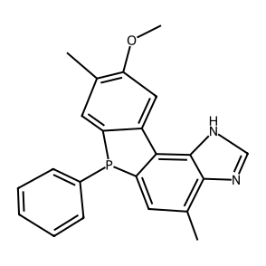 COc1cc2c3c4[nH]cnc4c(C)cc3p(-c3ccccc3)c2cc1C